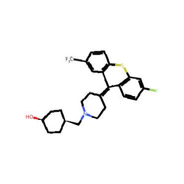 O[C@H]1CC[C@@H](CN2CCC(=C3c4ccc(F)cc4Sc4ccc(C(F)(F)F)cc43)CC2)CC1